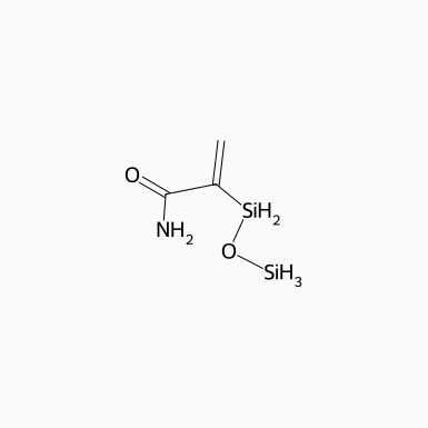 C=C([SiH2]O[SiH3])C(N)=O